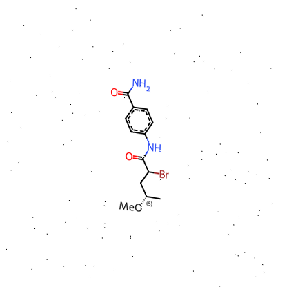 CO[C@@H](C)CC(Br)C(=O)Nc1ccc(C(N)=O)cc1